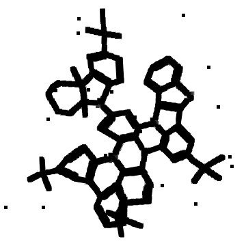 CC(C)(C)c1ccc(N2c3cc(C(C)(C)C)ccc3B3c4c2cc(N2c5ccc(C(C)(C)C)cc5C5(C)CCCCC25C)cc4-n2c4c3cc(C(C)(C)C)cc4c3sc4ccccc4c32)c(-c2ccccc2)c1